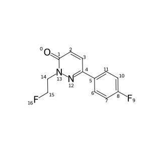 O=c1ccc(-c2ccc(F)cc2)nn1CCF